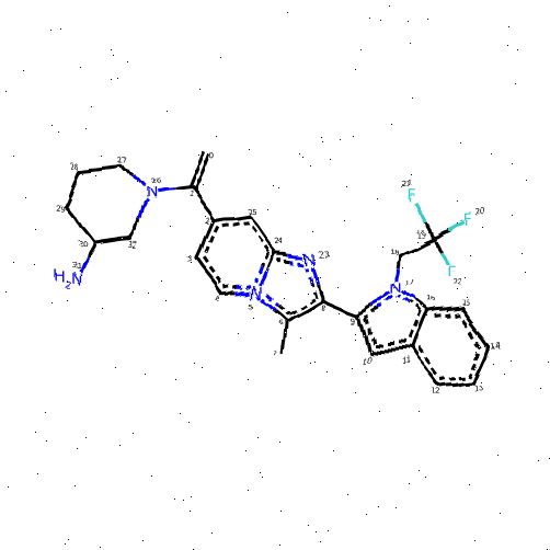 C=C(c1ccn2c(C)c(-c3cc4ccccc4n3CC(F)(F)F)nc2c1)N1CCCC(N)C1